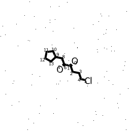 O=C(CCCCl)C(=O)CC1CCCC1